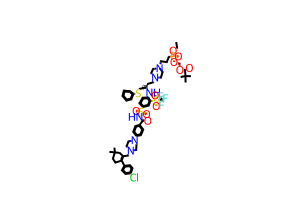 CCOP(=O)(CCCN1CCN(CC[C@H](CSc2ccccc2)Nc2ccc(S(=O)(=O)NC(=O)c3ccc(N4CCN(CC5=C(c6ccc(Cl)cc6)CCC(C)(C)C5)CC4)cc3)cc2S(=O)(=O)C(F)(F)F)CC1)OCOC(=O)C(C)(C)C